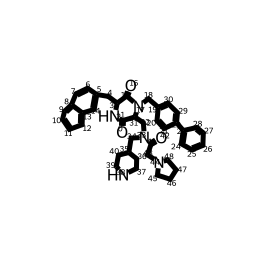 O=C1NC(Cc2ccc3ccccc3c2)C(=O)N(Cc2ccc(-c3ccccc3)cc2)C1CN(CC1CCNCC1)C(=O)CN1CCCC1